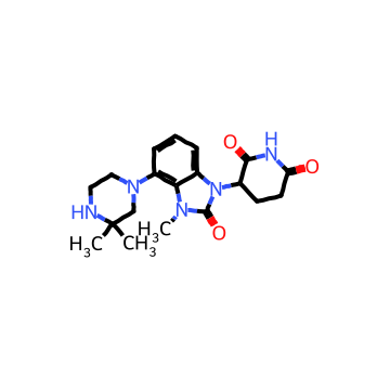 Cn1c(=O)n(C2CCC(=O)NC2=O)c2cccc(N3CCNC(C)(C)C3)c21